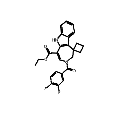 CCOC(=O)C1=CN(C(=O)c2ccc(F)c(F)c2)CC2(CCC2)c2c1[nH]c1ccccc21